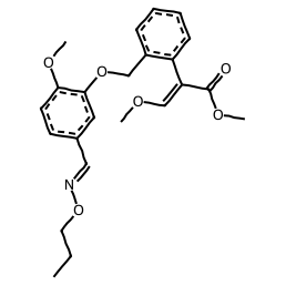 CCCO/N=C/c1ccc(OC)c(OCc2ccccc2/C(=C\OC)C(=O)OC)c1